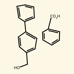 O=C(O)c1ccccc1.OCc1ccc(-c2ccccc2)cc1